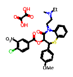 CCN(C)CCN1C(=O)C(OC(=O)c2ccc(Cl)c([N+](=O)[O-])c2)C(c2ccc(OC)cc2)Sc2ccccc21.O=C(O)C(=O)O